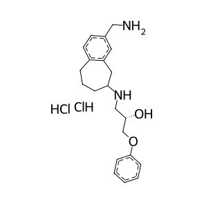 Cl.Cl.NCc1ccc2c(c1)CC(NC[C@H](O)COc1ccccc1)CCC2